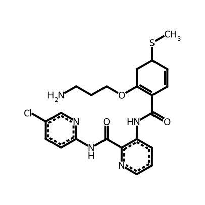 CSC1C=CC(C(=O)Nc2cccnc2C(=O)Nc2ccc(Cl)cn2)=C(OCCCN)C1